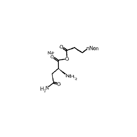 CCCCCCCCCCCC(=O)OC(=O)[C@@H](N)CC(N)=O.[Na]